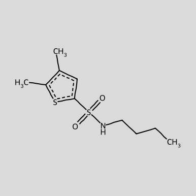 CCCCNS(=O)(=O)c1cc(C)c(C)s1